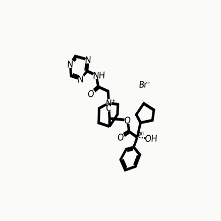 O=C(C[N+]12CCC(CC1)C(OC(=O)[C@](O)(c1ccccc1)C1CCCC1)C2)Nc1ncncn1.[Br-]